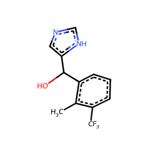 Cc1c(C(O)c2cnc[nH]2)cccc1C(F)(F)F